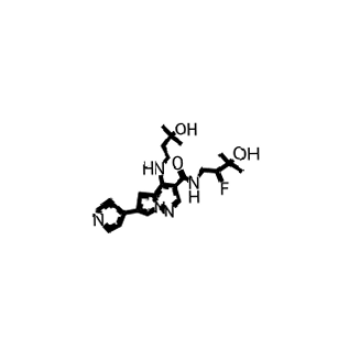 CC(C)(O)CCNc1c(C(=O)NCC(F)C(C)(C)O)cnn2cc(-c3ccncc3)cc12